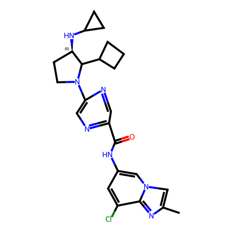 Cc1cn2cc(NC(=O)c3cnc(N4CC[C@@H](NC5CC5)C4C4CCC4)cn3)cc(Cl)c2n1